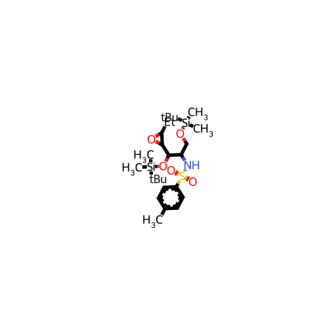 CCC1OC1C(O[Si](C)(C)C(C)(C)C)C(CO[Si](C)(C)C(C)(C)C)NS(=O)(=O)c1ccc(C)cc1